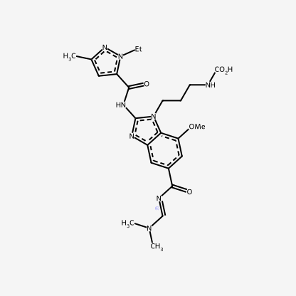 CCn1nc(C)cc1C(=O)Nc1nc2cc(C(=O)/N=C/N(C)C)cc(OC)c2n1CCCNC(=O)O